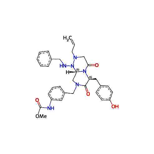 C=CCN1CC(=O)N2[C@@H](Cc3ccc(O)cc3)C(=O)N(Cc3cccc(NC(=O)OC)c3)C[C@@H]2N1NCc1ccccc1